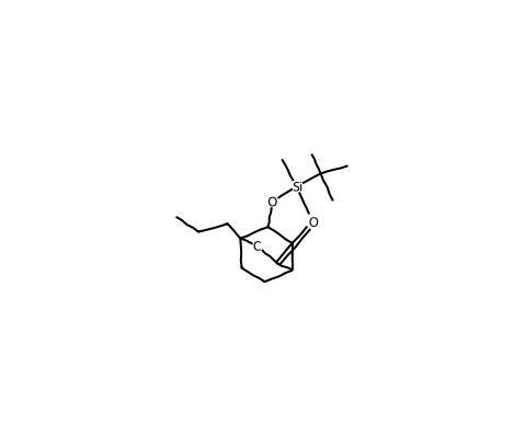 CCCC12CCC(CC1O[Si](C)(C)C(C)(C)C)C(=O)C2